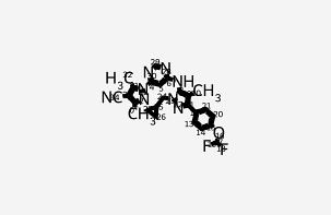 Cc1nn(-c2cc(Nc3c(C)c(-c4ccc(OC(F)F)cc4)nn3CC3CC3)ncn2)c(C)c1C#N